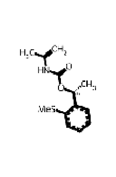 C=C(C)NC(=O)O[C@H](C)c1ccccc1SC